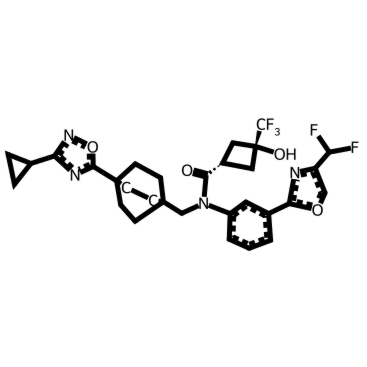 O=C([C@H]1C[C@](O)(C(F)(F)F)C1)N(CC12CCC(c3nc(C4CC4)no3)(CC1)CC2)c1cccc(-c2nc(C(F)F)co2)c1